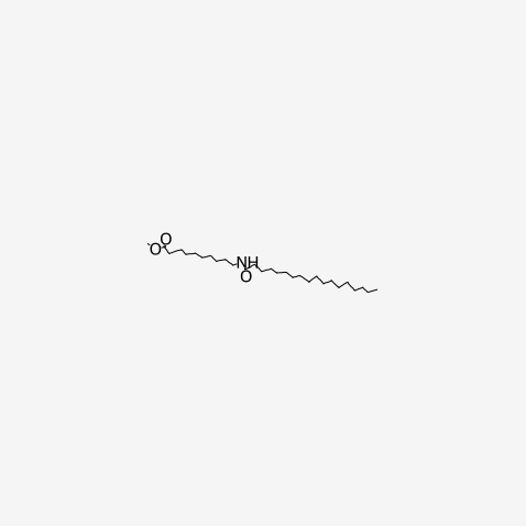 CCCCCCCCCCCCCCCCCC(=O)NCCCCCCCCCC(=O)OC